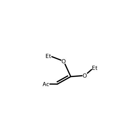 CCOC(=CC(C)=O)OCC